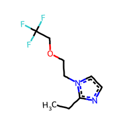 CCc1nccn1CCOCC(F)(F)F